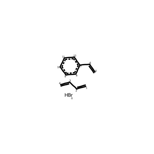 Br.C=CC=C.C=Cc1ccccc1